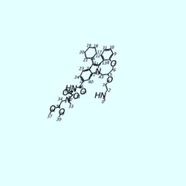 CNCCO[C@@H]1COc2ccccc2-c2c(C3CCCCC3)c3ccc(C(=O)NS(=O)(=O)N(C)CC(OC)OC)cc3n2C1